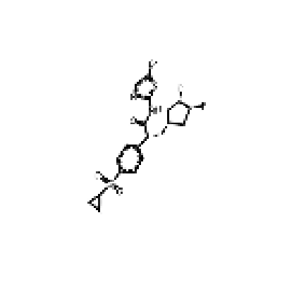 O=C(Nc1ncc(Br)s1)[C@H](C[C@H]1C[C@@H](F)[C@@H](F)C1)c1ccc(S(=O)(=O)C2CC2)cc1